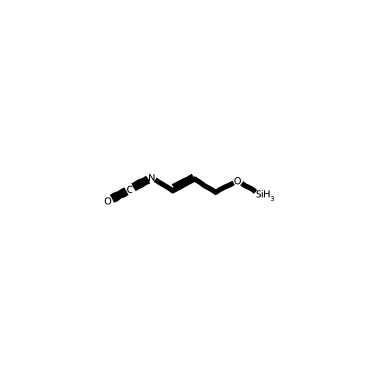 O=C=NC=CCO[SiH3]